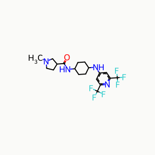 CN1CCC(C(=O)NC2CCC(Nc3cc(C(F)(F)F)nc(C(F)(F)F)c3)CC2)C1